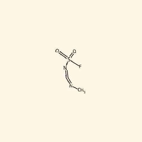 CN=C=NS(=O)(=O)F